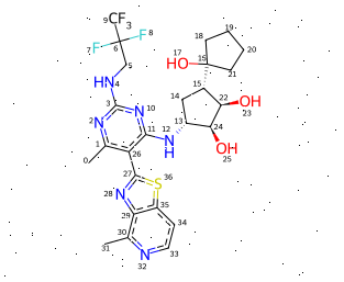 Cc1nc(NCC(F)(F)C(F)(F)F)nc(N[C@@H]2C[C@H](C3(O)CCCC3)[C@@H](O)[C@H]2O)c1-c1nc2c(C)nccc2s1